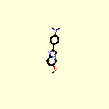 COc1ccc2nc(-c3ccc(N(C)C)cc3)cn2c1